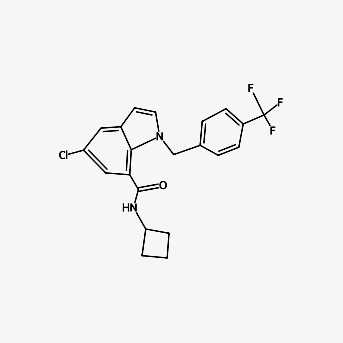 O=C(NC1CCC1)c1cc(Cl)cc2ccn(Cc3ccc(C(F)(F)F)cc3)c12